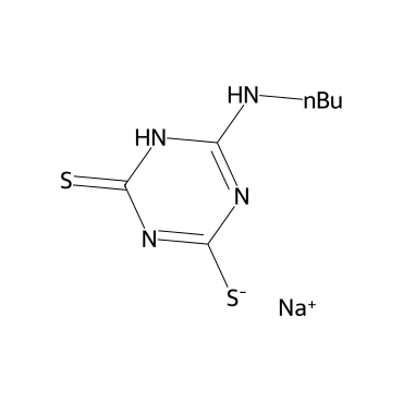 CCCCNc1nc([S-])nc(=S)[nH]1.[Na+]